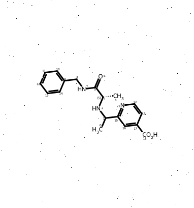 CC(N[C@@H](C)C(=O)NCc1ccccc1)c1cc(C(=O)O)ccn1